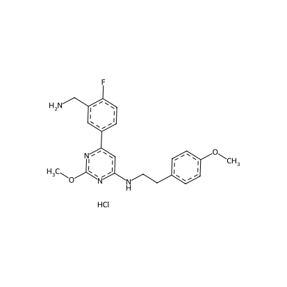 COc1ccc(CCNc2cc(-c3ccc(F)c(CN)c3)nc(OC)n2)cc1.Cl